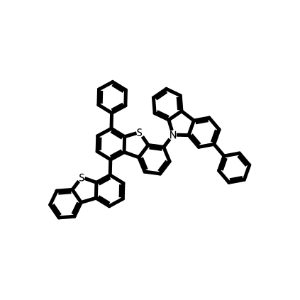 c1ccc(-c2ccc3c4ccccc4n(-c4cccc5c4sc4c(-c6ccccc6)ccc(-c6cccc7c6sc6ccccc67)c45)c3c2)cc1